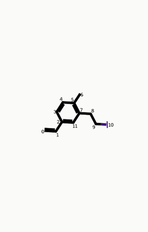 C=Cc1ccc(C)c(CCI)c1